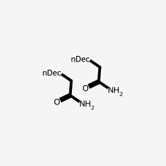 CCCCCCCCCCCC(N)=O.CCCCCCCCCCCC(N)=O